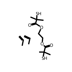 C=CC.C=CC.CC(C)(S)C(=O)OCCOC(=O)C(C)(C)S